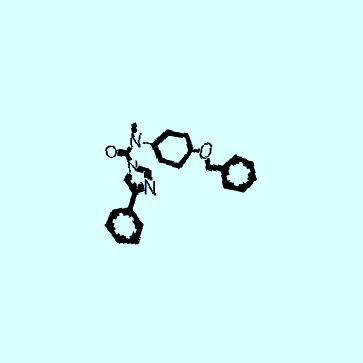 CN(C(=O)n1cnc(-c2ccccc2)c1)[C@H]1CC[C@H](OCc2ccccc2)CC1